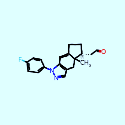 CC12Cc3cnn(-c4ccc(F)cc4)c3C=C1CC[C@@H]2CC=O